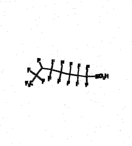 O=S(=O)(O)C(F)(F)C(F)(F)C(F)(F)C(F)(F)C(F)(F)C(F)C(F)(F)C(F)(F)F